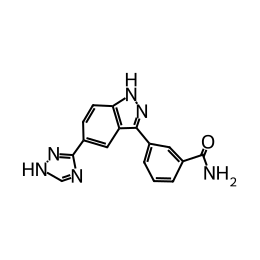 NC(=O)c1cccc(-c2n[nH]c3ccc(-c4nc[nH]n4)cc23)c1